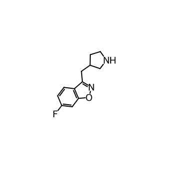 Fc1ccc2c(CC3CCNC3)noc2c1